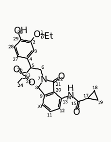 CCOc1cc(C(CN2Cc3cccc(NC(=O)C4CC4)c3C2=O)S(C)(=O)=O)ccc1O